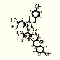 CC(C)CC(=O)NC(Cc1ccc(O)cc1)C(=O)NC(C(=O)NC(Cc1ccc(O)cc1)C(=O)O)C(C)C